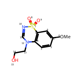 COc1ccc2c(c1)S(=O)(=O)N=CN2CCO